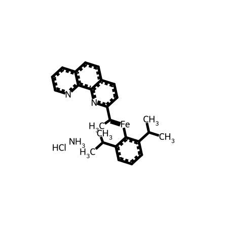 C/[C](=[Fe]\[c]1c(C(C)C)cccc1C(C)C)c1ccc2ccc3cccnc3c2n1.Cl.N